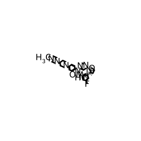 COc1cc(N2CCC(N3CCN(C)CC3)CC2)ccc1Nc1cc(N2OCC[C@@H]2c2cncc(F)c2)ncn1